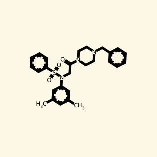 Cc1cc(C)cc(N(CC(=O)N2CCN(Cc3ccccc3)CC2)S(=O)(=O)c2ccccc2)c1